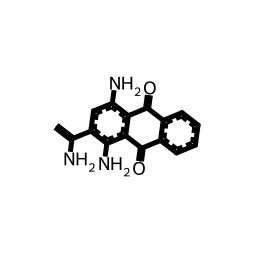 C=C(N)c1cc(N)c2c(c1N)C(=O)c1ccccc1C2=O